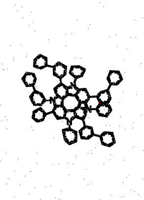 c1ccc(-c2cccc(-c3cc4c5c6c7c8c9c%10c%11c5c(c(-c5cccc(-c%12ccccc%12)c5)cc%11n(-c5cccc(-c%11ccccc%11)c5)c%10c(-c5ccccc5)cc9n(-c5ccccc5)c8c(-c5cccc(-c8ccccc8)c5)cc7n(-c5ccccc5)c36)n4-c3ccccc3)c2)cc1